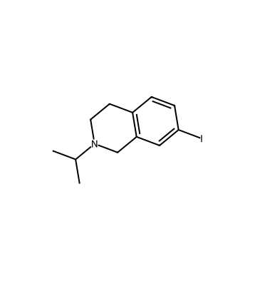 CC(C)N1CCc2ccc(I)cc2C1